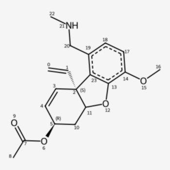 C=C[C@@]12C=C[C@H](OC(C)=O)CC1Oc1c(OC)ccc(CNC)c12